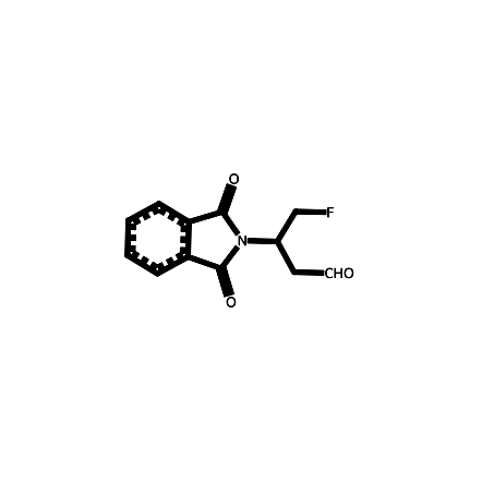 O=CCC(CF)N1C(=O)c2ccccc2C1=O